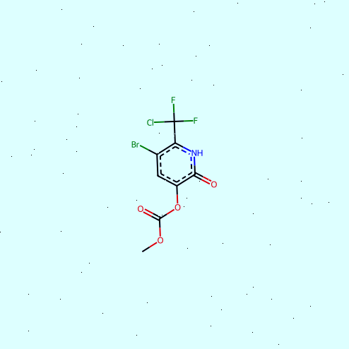 COC(=O)Oc1cc(Br)c(C(F)(F)Cl)[nH]c1=O